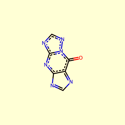 O=c1c2c(nc3ncnn13)N=CN=2